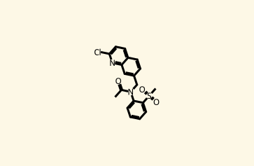 CC(=O)N(Cc1ccc2ccc(Cl)nc2c1)c1ccccc1S(C)(=O)=O